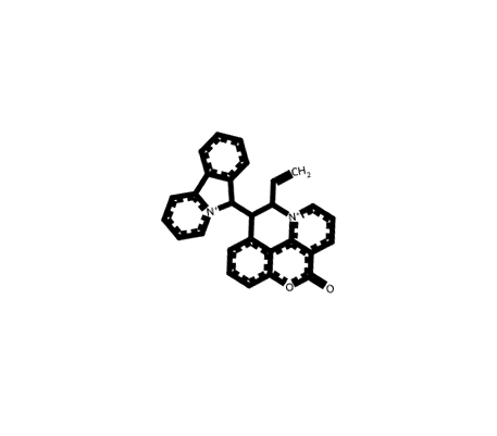 C=CC1C(C2c3ccccc3-c3cccc[n+]32)c2cccc3oc(=O)c4ccc[n+]1c4c23